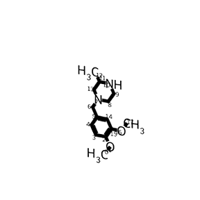 COc1ccc(CN2CCNC(C)C2)cc1OC